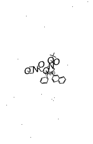 CN(C[C@@H](c1ccc2ccccc2c1)[C@H](OCC(=O)N1CCOCC1)c1ccccc1)C(=O)OC(C)(C)C